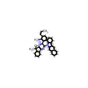 C/C=C\c1cccc(C2NC3=C(N=C2n2c4ccccc4c4cc5ccccc5cc42)c2ccccc2C3(C)C)c1N